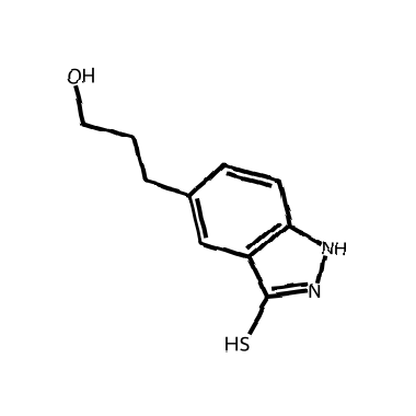 OCCCc1ccc2[nH]nc(S)c2c1